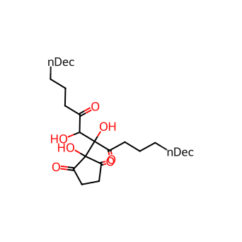 CCCCCCCCCCCCCC(=O)C(O)C(O)(C(=O)CCCCCCCCCCCCC)C1(O)C(=O)CCC1=O